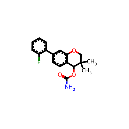 CC1(C)COc2cc(-c3ccccc3F)ccc2C1OC(N)=O